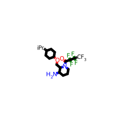 CC(C)C1CCC(OCC2C(N)CCCN2C(=O)C(F)(F)C(F)(F)C(F)(F)F)CC1